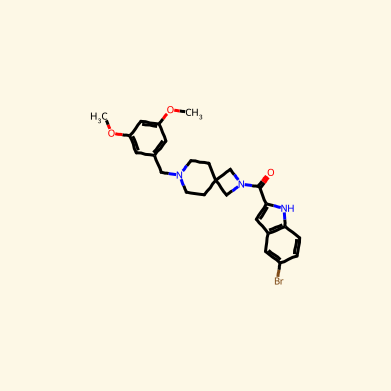 COc1cc(CN2CCC3(CC2)CN(C(=O)c2cc4cc(Br)ccc4[nH]2)C3)cc(OC)c1